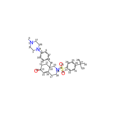 CN1CCN(c2ccc(CC34CCC(=O)C=C3CCN(S(=O)(=O)c3ccc(C(C)(C)C)cc3)C4)cc2)CC1